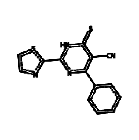 N#Cc1c(-c2ccccc2)nc(-c2nccs2)[nH]c1=S